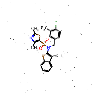 Cc1nc(C)c(S(=O)(=O)N(Cc2ccc(F)c(C(F)(F)F)c2)c2sc3ccccc3c2C)s1